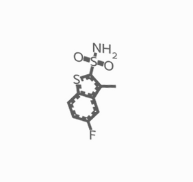 Cc1c(S(N)(=O)=O)sc2ccc(F)cc12